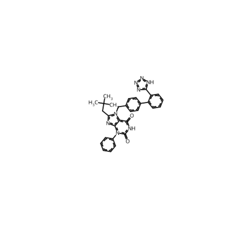 CC(C)(C)Cc1nc2c(c(=O)[nH]c(=O)n2-c2ccccc2)n1Cc1ccc(-c2ccccc2-c2nnn[nH]2)cc1